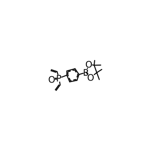 C=CP(=O)(C=C)c1ccc(B2OC(C)(C)C(C)(C)O2)cc1